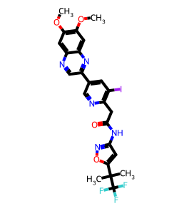 COc1cc2ncc(-c3cnc(CC(=O)Nc4cc(C(C)(C)C(F)(F)F)on4)c(I)c3)nc2cc1OC